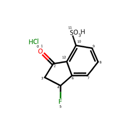 Cl.O=C1CC(F)c2cccc(S(=O)(=O)O)c21